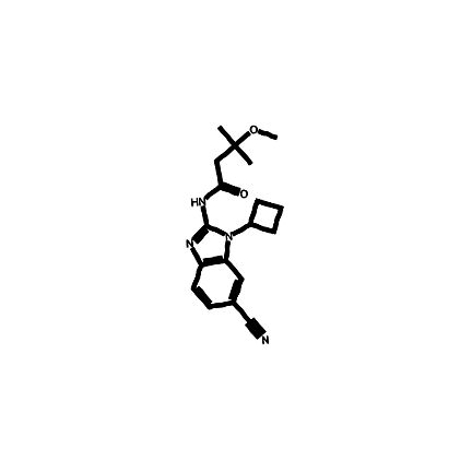 COC(C)(C)CC(=O)Nc1nc2ccc(C#N)cc2n1C1CCC1